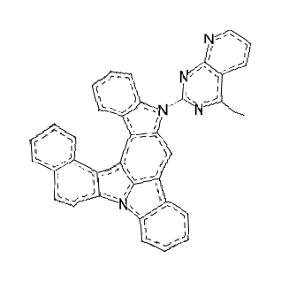 Cc1nc(-n2c3ccccc3c3c4c5c6ccccc6ccc5n5c6ccccc6c(cc32)c45)nc2ncccc12